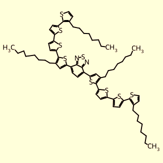 CCCCCCCCc1ccsc1-c1ccc(-c2ccc(-c3sc(-c4ccc(-c5cc(CCCCCCCC)c(-c6ccc(-c7ccc(-c8sccc8CCCCCCCC)s7)s6)s5)c5nsnc45)cc3CCCCCCCC)s2)s1